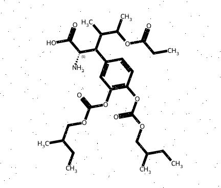 CCC(=O)OC(C)C(C)C(c1ccc(OC(=O)OCC(C)CC)c(OC(=O)OCC(C)CC)c1)[C@H](N)C(=O)O